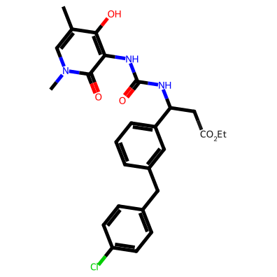 CCOC(=O)CC(NC(=O)Nc1c(O)c(C)cn(C)c1=O)c1cccc(Cc2ccc(Cl)cc2)c1